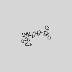 c1ccc(-c2cc(-c3ccc(-c4ccc(-c5nc6ccccc6c6c(-c7ccccc7)c(-c7ccccc7)oc56)cc4)cc3)nc(-c3ccccc3)n2)cc1